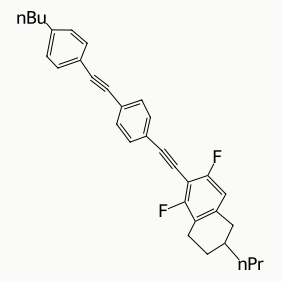 CCCCc1ccc(C#Cc2ccc(C#Cc3c(F)cc4c(c3F)CCC(CCC)C4)cc2)cc1